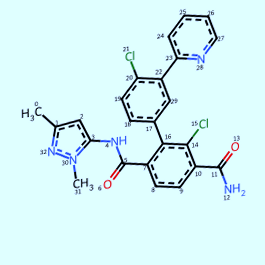 Cc1cc(NC(=O)c2ccc(C(N)=O)c(Cl)c2-c2ccc(Cl)c(-c3ccccn3)c2)n(C)n1